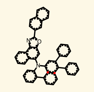 c1ccc(-c2ccc(N(c3ccccc3-c3ccccc3)c3cc4oc(-c5ccc6ccccc6c5)nc4c4ccccc34)cc2-c2ccccc2)cc1